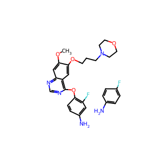 COc1cc2ncnc(Oc3ccc(N)cc3F)c2cc1OCCCN1CCOCC1.Nc1ccc(F)cc1